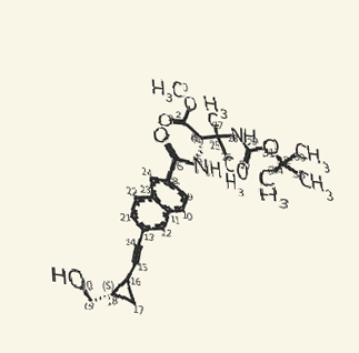 COC(=O)[C@@H](NC(=O)c1ccc2cc(C#CC3C[C@@H]3CO)ccc2c1)C(C)(C)NC(=O)OC(C)(C)C